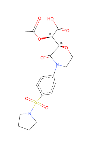 CC(=O)O[C@@H](C(=O)O)[C@H]1OCCN(c2ccc(S(=O)(=O)N3CCCC3)cc2)C1=O